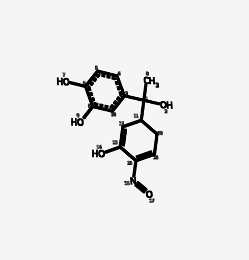 CC(O)(c1ccc(O)c(O)c1)C1C=C(O)C(N=O)=CC1